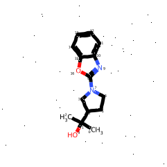 CC(C)(O)C1CCN(c2nc3ccccc3o2)C1